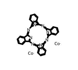 [Co].[Co].c1ccc2c(c1)-c1nc-2nc2[nH]c(nc3nc(nc4[nH]c(n1)c1ccccc41)-c1ccccc1-3)c1ccccc21